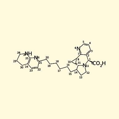 O=C(O)[C@H](c1cccnc1C1CC1)N1CCC(CCCCCCc2ccc3c(n2)NCCC3)C1